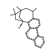 CC1CC2(C)C[C@@H](CC2(C)C)c2c1ccc1c2ccc2cccnc21